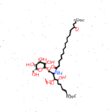 CCCCCCCCCCCCCCC(O)C(O)C(CO[C@H]1O[C@H](CO)[C@H](O)[C@H](O)[C@H]1O)NC(=O)CCCCCCCCCCCCC(=O)CCCCCCCCCCCC